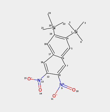 C[Si](C)(C)c1cc2cc([N+](=O)[O-])c([N+](=O)[O-])cc2cc1[Si](C)(C)C